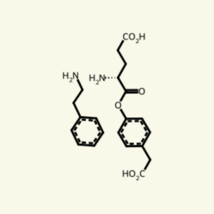 NCCc1ccccc1.N[C@H](CCC(=O)O)C(=O)Oc1ccc(CC(=O)O)cc1